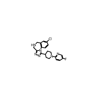 Fc1ccc(N2CCC(c3nnc4n3-c3ccc(Cl)cc3CNC4)CC2)nc1